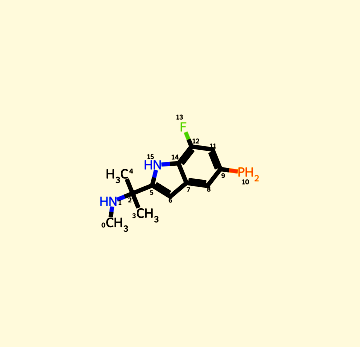 CNC(C)(C)c1cc2cc(P)cc(F)c2[nH]1